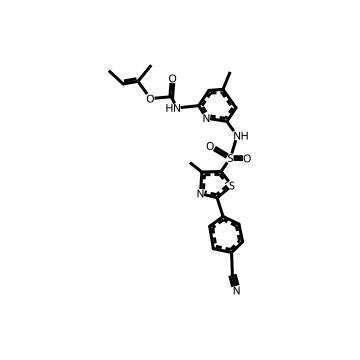 C/C=C(\C)OC(=O)Nc1cc(C)cc(NS(=O)(=O)c2sc(-c3ccc(C#N)cc3)nc2C)n1